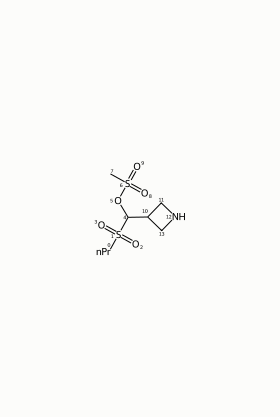 CCCS(=O)(=O)C(OS(C)(=O)=O)C1CNC1